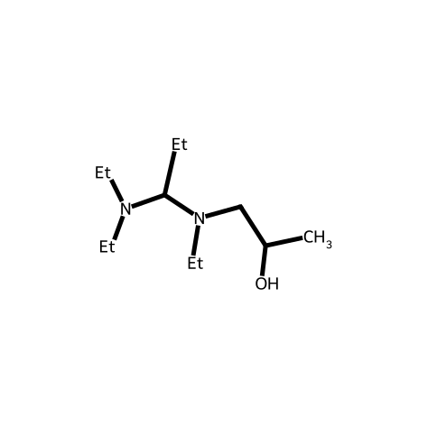 CCC(N(CC)CC)N(CC)CC(C)O